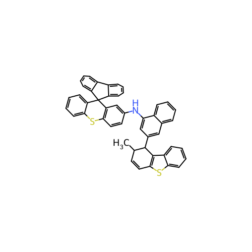 CC1C=Cc2sc3ccccc3c2C1c1cc(Nc2ccc3c(c2)C2(c4ccccc4S3)c3ccccc3-c3ccccc32)c2ccccc2c1